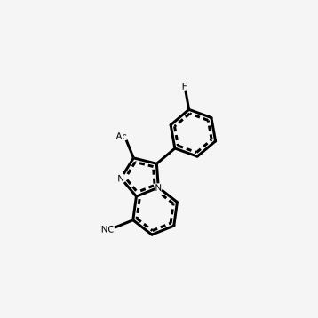 CC(=O)c1nc2c(C#N)cccn2c1-c1cccc(F)c1